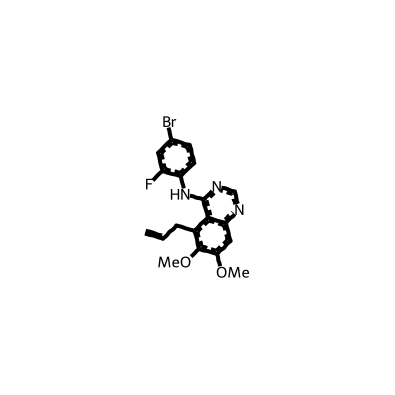 C=CCc1c(OC)c(OC)cc2ncnc(Nc3ccc(Br)cc3F)c12